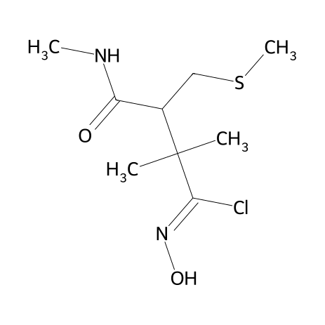 CNC(=O)C(CSC)C(C)(C)C(Cl)=NO